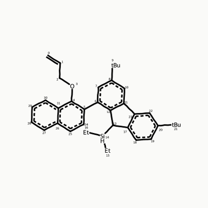 C=CCOc1c(-c2cc(C(C)(C)C)cc3c2C([SiH](CC)CC)c2ccc(C(C)(C)C)cc2-3)ccc2ccccc12